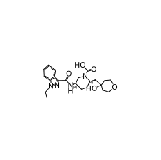 CCn1nc(C(=O)N[C@@H]2CC[C@H](CC3(O)CCOCC3)N(C(=O)O)C2)c2ccccc21